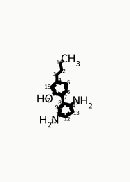 CCCCc1ccc(-c2cc(N)ccc2N)c(O)c1